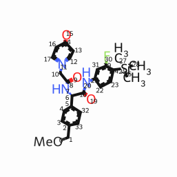 COCc1ccc([C@@H](NC(=O)Cn2ccc(=O)cc2)C(=O)Nc2ccc([Si](C)(C)C)c(F)c2)cc1